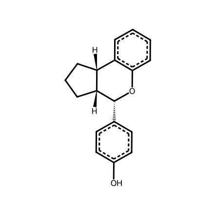 Oc1ccc([C@H]2Oc3ccccc3[C@H]3CCC[C@H]32)cc1